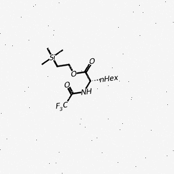 CCCCCC[C@H](NC(=O)C(F)(F)F)C(=O)OCC[Si](C)(C)C